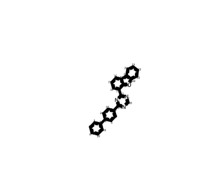 c1ccc(-c2ccc(-c3ncnc(-c4cccc5c4oc4ccccc45)n3)cc2)cc1